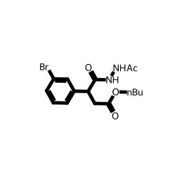 CCCCOC(=O)CC(C(=O)NNC(C)=O)c1cccc(Br)c1